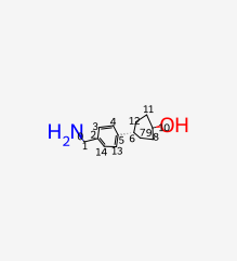 NCc1ccc([C@H]2CC[C@H](O)CC2)cc1